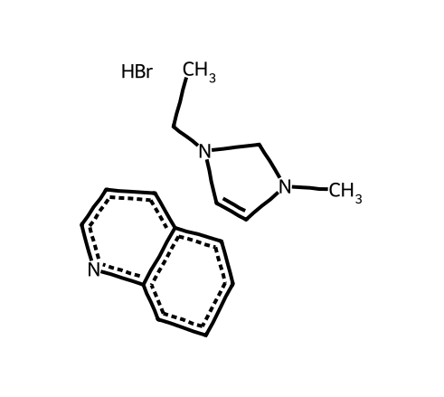 Br.CCN1C=CN(C)C1.c1ccc2ncccc2c1